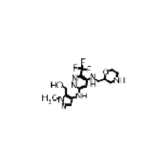 Cn1ncc(Nc2cc(NCC3CNCCO3)c(C(F)(F)F)nn2)c1CO